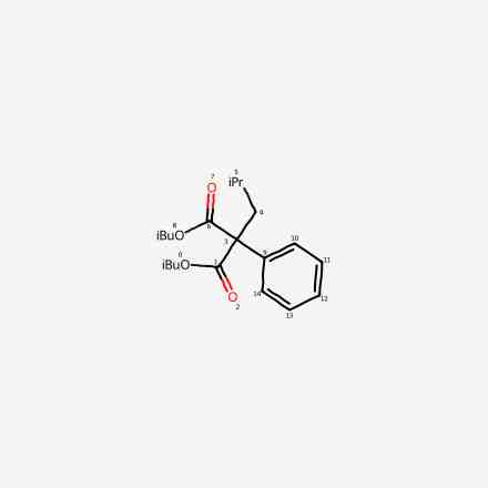 CC(C)COC(=O)C(CC(C)C)(C(=O)OCC(C)C)c1ccccc1